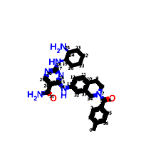 Cc1ccc(C(=O)N2CCc3ccc(Nc4nc(N[C@@H]5CCCC[C@@H]5N)ncc4C(N)=O)cc3C2)cc1